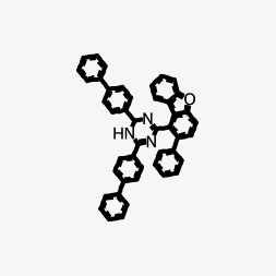 c1ccc(-c2ccc(C3=NC(c4c(-c5ccccc5)ccc5oc6ccccc6c45)=NC(c4ccc(-c5ccccc5)cc4)N3)cc2)cc1